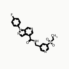 CCS(=O)(=O)c1cncc(CNC(=O)c2cncc3c2cnn3-c2ccc(F)cc2)c1